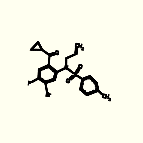 C=CCN(c1cc(Br)c(F)cc1C(=O)C1CC1)S(=O)(=O)c1ccc(C)cc1